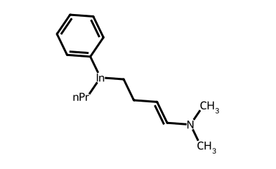 CC[CH2][In]([CH2]CC=CN(C)C)[c]1ccccc1